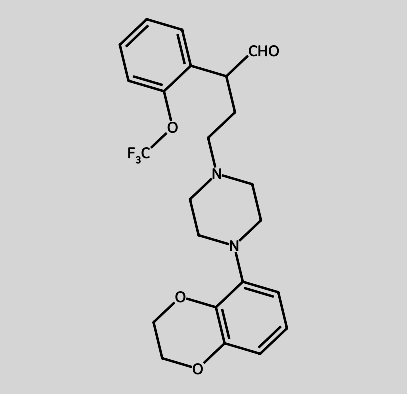 O=CC(CCN1CCN(c2cccc3c2OCCO3)CC1)c1ccccc1OC(F)(F)F